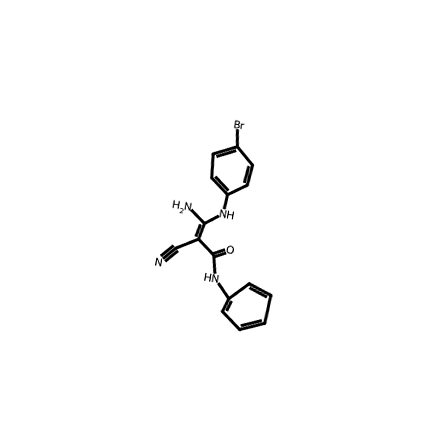 N#CC(C(=O)Nc1ccccc1)=C(N)Nc1ccc(Br)cc1